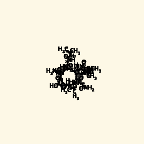 CCC(C)[C@@H]1NC(=O)[C@@H]2C[C@@H](O)CN2C(=O)[C@H](CC(N)=O)NC(=O)[C@@H](NC(=O)CNC(=O)[C@@H](I)[C@@H](C)CC)CSc2[nH]c3c(NC=O)c(OP(=O)(NC)NC)ccc3c2C[C@@H](C(=O)NCC(N)=O)NC1=O